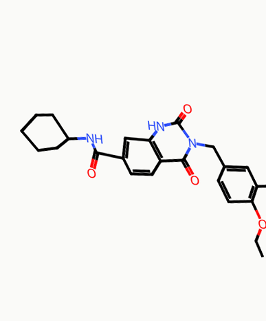 CCOc1ccc(Cn2c(=O)[nH]c3cc(C(=O)NC4CCCCC4)ccc3c2=O)cc1C